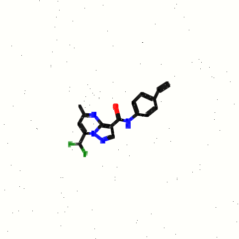 C#Cc1ccc(NC(=O)c2cnn3c(C(F)F)cc(C)nc23)cc1